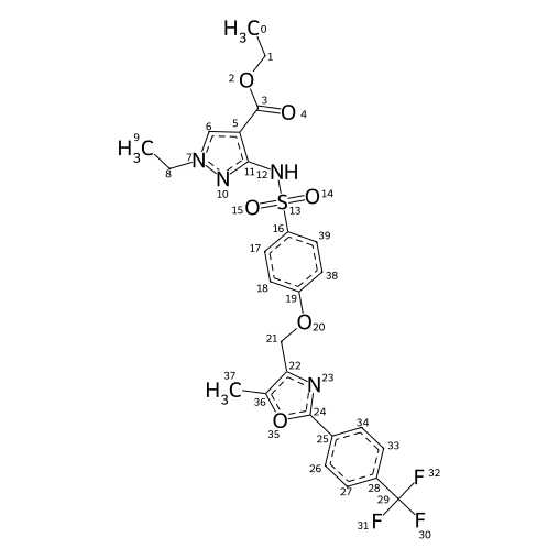 CCOC(=O)c1cn(CC)nc1NS(=O)(=O)c1ccc(OCc2nc(-c3ccc(C(F)(F)F)cc3)oc2C)cc1